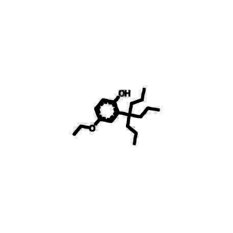 CCCC(CCC)(CCC)c1cc(OCC)ccc1O